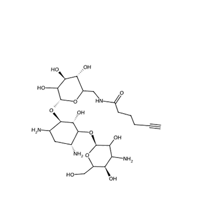 C#CCCCC(=O)NCC1O[C@H](O[C@@H]2C(N)C[C@@H](N)C(O[C@@H]3OC(CO)[C@H](O)C(N)C3O)[C@H]2O)C(O)[C@@H](O)[C@@H]1O